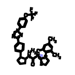 Cc1cc(C)c(N2CCS/C2=N\C(=O)NC2CCCC2c2ccc(-c3ncn(-c4ccc(OC(F)(F)F)cc4)n3)cc2)c(C)c1